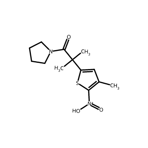 Cc1cc(C(C)(C)C(=O)N2CCCC2)sc1[N+](=O)O